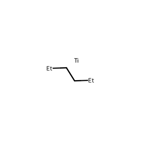 CCCCCC.[Ti]